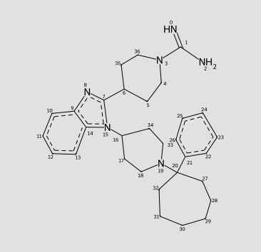 N=C(N)N1CCC(c2nc3ccccc3n2C2CCN(C3(c4ccccc4)CCCCCC3)CC2)CC1